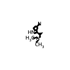 CCCN(CCC)CC1CC1c1c[nH]c2ccc(C#N)cc12